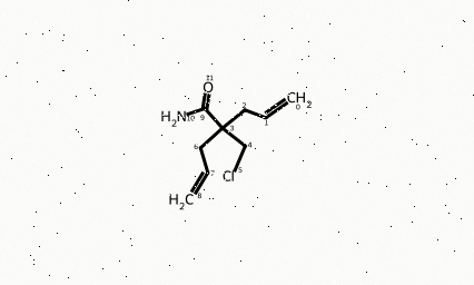 C=CCC(CCl)(CC=C)C(N)=O